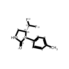 Cc1ccc(N2C(=O)NC[C@@H]2C(F)F)cc1